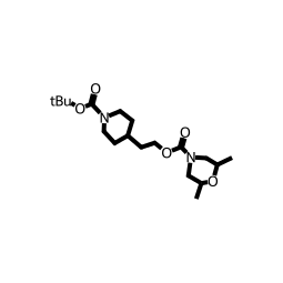 CC1CN(C(=O)OCCC2CCN(C(=O)OC(C)(C)C)CC2)CC(C)O1